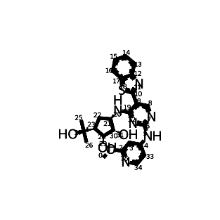 COc1cc(Nc2ncc(-c3nc4ccccc4s3)c(N[C@@H]3C[C@H](C(C)(C)O)[C@@H](O)[C@H]3O)n2)ccn1